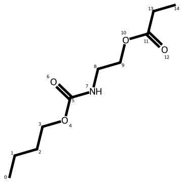 CCCCOC(=O)NCCOC(=O)CC